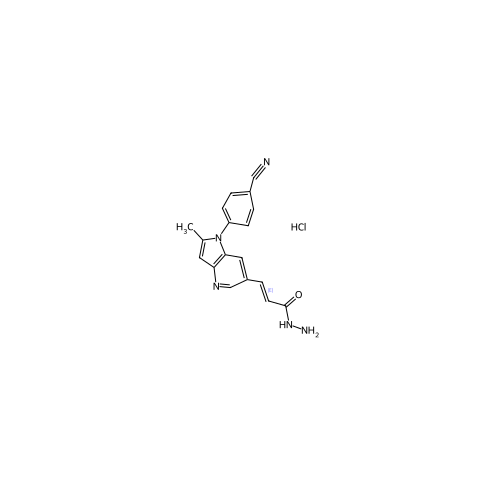 Cc1cc2ncc(/C=C/C(=O)NN)cc2n1-c1ccc(C#N)cc1.Cl